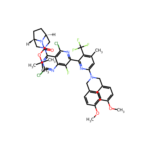 COc1ccc(CN(Cc2ccc(OC)cc2)c2cc(C)c(C(F)(F)F)c(-c3nc(Cl)c4c(N5C[C@@H]6CC[C@@H](C5)N6C(=O)OC(C)(C)C)nc(Cl)nc4c3F)n2)cc1